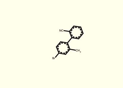 Cc1cc(Br)ccc1-c1ccccc1C#N